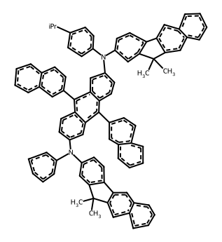 CC(C)c1ccc(N(c2ccc3c(c2)C(C)(C)c2cc4ccccc4cc2-3)c2ccc3c(-c4ccc5ccccc5c4)c4cc(N(c5ccccc5)c5ccc6c(c5)C(C)(C)c5cc7ccccc7cc5-6)ccc4c(-c4ccc5ccccc5c4)c3c2)cc1